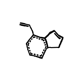 C=Cc1cc[c]c2c1C=CC2